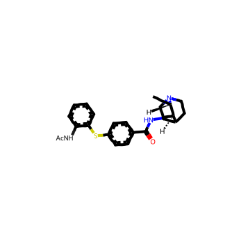 CC(=O)Nc1ccccc1Sc1ccc(C(=O)N[C@@H]2C3CCN(CC3)[C@H]2C)cc1